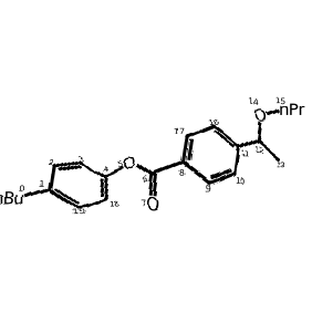 CCCCc1ccc(OC(=O)c2ccc(C(C)OCCC)cc2)cc1